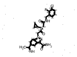 CC(=N)c1ccc2c(c1)c(C(N)=O)nn2CC(=O)N(CC(=O)NCc1cccc(Cl)c1F)C1CC1